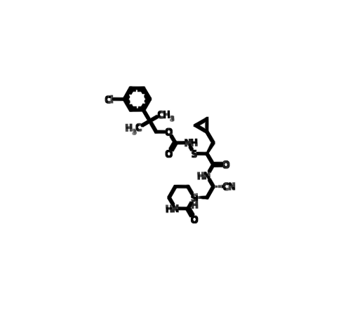 CC(C)(COC(=O)NS[C@@H](CC1CC1)C(=O)N[C@H](C#N)C[Si@@H]1CCCNC1=O)c1cccc(Cl)c1